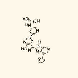 CCCCC(O)Nc1cncc(-c2cnc3[nH]nc(-c4nc5c(-c6cccs6)cncc5[nH]4)c3c2)c1